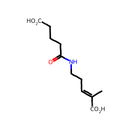 CC(=CCCNC(=O)CCCC(=O)O)C(=O)O